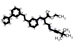 CCOC(=O)/C(=C/c1cccc(CCc2cccc(-c3ccsc3)c2)c1)C/C=C/C#CC(C)(C)C